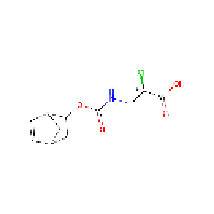 O=C(NC[C@@H](Cl)C(=O)O)OC1CC2C=CC1C2